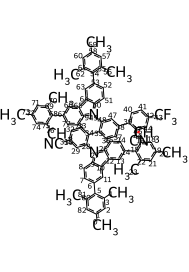 Cc1cc(C)c(-c2ccc3c(c2)c2cc(-c4c(C)cc(C)cc4C)ccc2n3-c2cc(C#N)ccc2-c2ccc(-c3ccc(C(F)(F)F)cc3C#N)cc2-n2c3ccc(-c4c(C)cc(C)cc4C)cc3c3cc(-c4c(C)cc(C)cc4C)ccc32)c(C)c1